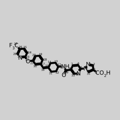 O=C(O)c1cnn(-c2ccc(C(=O)NC3CCC(=Cc4cccc(Oc5ccc(C(F)(F)F)cn5)c4)CC3)cn2)c1